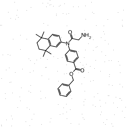 CC1(C)CCC(C)(C)c2cc(N(C(=O)CN)c3ccc(C(=O)OCc4ccccc4)cc3)ccc21